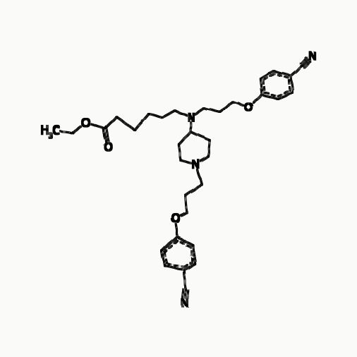 CCOC(=O)CCCCCN(CCCOc1ccc(C#N)cc1)C1CCN(CCCOc2ccc(C#N)cc2)CC1